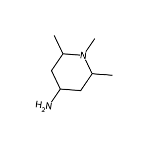 CC1CC(N)CC(C)N1C